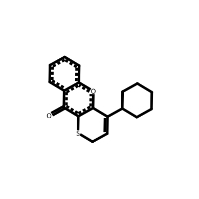 O=c1c2c(oc3ccccc13)C(C1CCCCC1)=CCS2